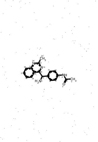 CC(=O)Nc1ccc(C(N)c2nc(C)nc3ccccc23)cc1